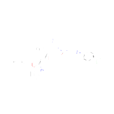 C=N/C(=C\C=C(/C)[C@@H](O)[C@@H](CN1CCCC1)NC(=O)[C@H]1CCN(c2ccc(Cl)cc2)C1)OCC(F)(F)F